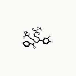 CC(=O)OCCN(CC(CCOS(C)(=O)=O)c1ccc(Cl)c(Cl)c1)C(=O)c1ccccc1